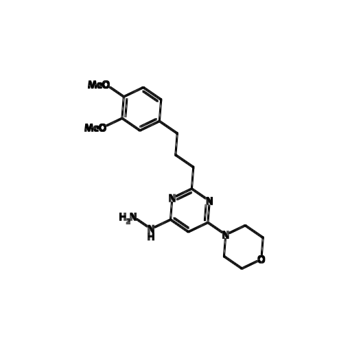 COc1ccc(CCCc2nc(NN)cc(N3CCOCC3)n2)cc1OC